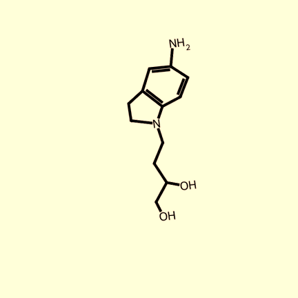 Nc1ccc2c(c1)CCN2CCC(O)CO